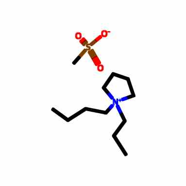 CCCC[N+]1(CCC)CCCC1.CS(=O)(=O)[O-]